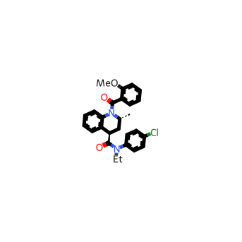 CCN(C(=O)[C@@H]1C[C@@H](C)N(C(=O)c2ccccc2OC)c2ccccc21)c1ccc(Cl)cc1